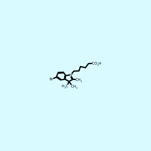 CC1=[N+](CCCCCC(=O)O)c2ccc(Br)cc2C1(C)C